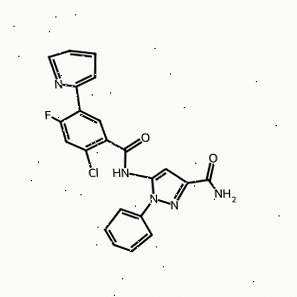 NC(=O)c1cc(NC(=O)c2cc(-c3ccccn3)c(F)cc2Cl)n(-c2ccccc2)n1